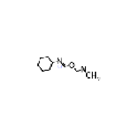 C=NCO/C=N/C1CCCCC1